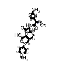 CO/N=C(\C(=O)N[C@@H]1C(=O)N2C(C(=O)O)=C(CSc3cc[n+](N)cc3)CS[C@H]12)c1csc(N)n1